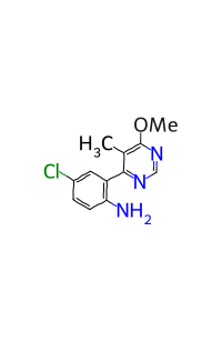 COc1ncnc(-c2cc(Cl)ccc2N)c1C